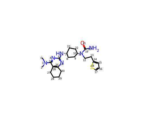 CN(C)c1nc(N[C@H]2CC[C@@H](N(CCc3cccs3)C(N)=O)CC2)nc2c1CCCC2